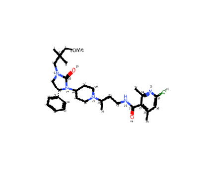 COCC(C)(C)CN1C[C@@H](c2ccccc2)N(C2CCN(C(C)CCNC(=O)c3c(C)cc(Cl)nc3C)CC2)C1=O